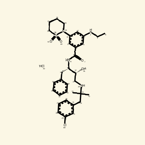 CCNc1cc(C(=O)N[C@@H](Cc2ccccc2)[C@H](O)CNC(C)(C)Cc2cccc(Cl)c2)cc(N2CCCCS2(=O)=O)c1.Cl